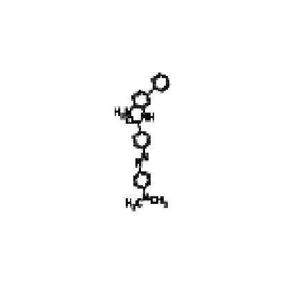 CN(C)c1ccc(N=Nc2ccc(C(=O)Nc3cc(-c4ccccc4)ccc3N)cc2)cc1